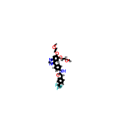 COCCOc1cc2ncnc(-c3ccc(NC(=O)Cc4ccc(C(F)(F)F)cc4)cc3)c2cc1OCCOC